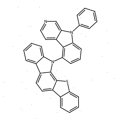 c1ccc(-n2c3cnccc3c3c(-n4c5ccccc5c5ccc6c7ccccc7sc6c54)cccc32)cc1